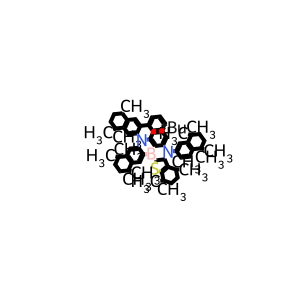 CC1CCC(C)(C)c2cc(N3c4cc5c(cc4B4c6c3cc(C(C)(C)C)cc6N(c3ccc6c(c3)C(C)(C)CCC6(C)C)C3C6=C(SC43)C(C)(C)CCC6(C)C)C(C)(C)CCC5(C)C)c(-c3ccccc3)cc21